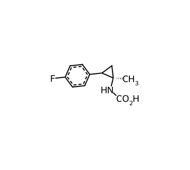 C[C@@]1(NC(=O)O)CC1c1ccc(F)cc1